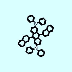 C1=C(c2c3cc(N(c4ccccc4)c4ccccc4)ccc3c(-c3ccc4ccccc4c3)c3cc(N(c4ccccc4)c4ccccc4)ccc23)CCc2ccccc21